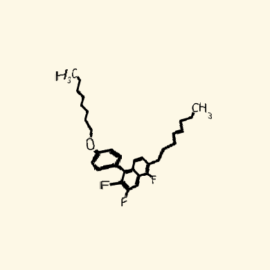 CCCCCCCCOc1ccc(-c2c(F)c(F)cc3c(F)c(CCCCCCCC)ccc23)cc1